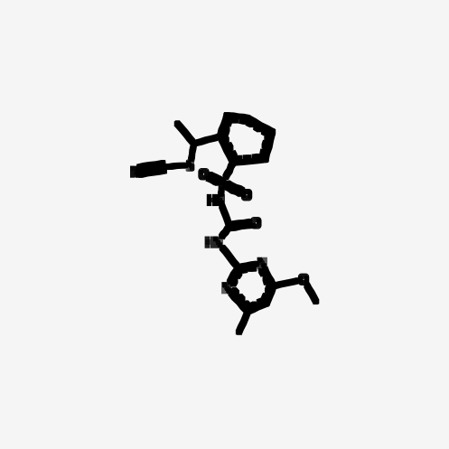 COc1cc(C)nc(NC(=O)NS(=O)(=O)c2ccccc2C(C)SC#N)n1